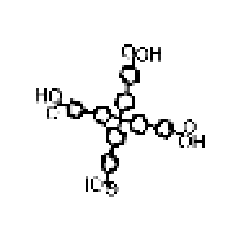 O=C(O)c1ccc(-c2ccc(C(C3=CCC(c4ccc(C(=O)O)cc4)C=C3)(c3ccc(-c4ccc(C(=O)O)cc4)cc3)c3ccc(-c4ccc(C(=O)O)cc4)cc3)cc2)cc1